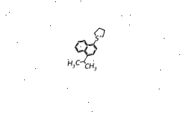 CC(C)c1ccc([S+]2CCCC2)c2ccccc12